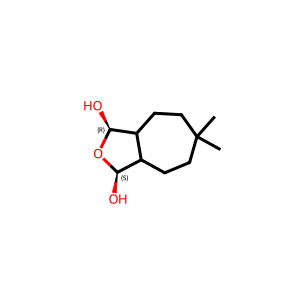 CC1(C)CCC2C(CC1)[C@@H](O)O[C@H]2O